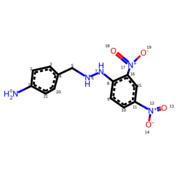 Nc1ccc(CNNc2ccc([N+](=O)[O-])cc2[N+](=O)[O-])cc1